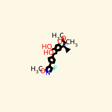 COC(=O)/C(C)=C(\c1ccc(CO)c(CC(O)c2ccc(-c3cc(OC)ncc3F)cc2)c1)C1CC1